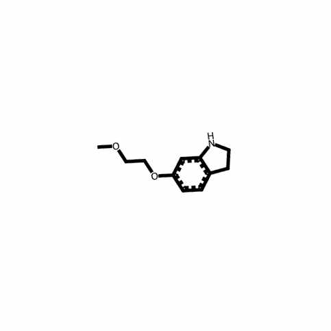 COCCOc1ccc2c(c1)NCC2